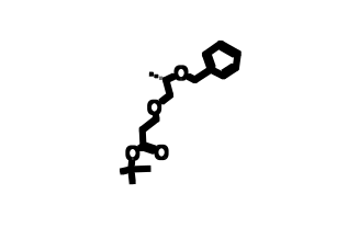 C[C@@H](COCCC(=O)OC(C)(C)C)OCc1ccccc1